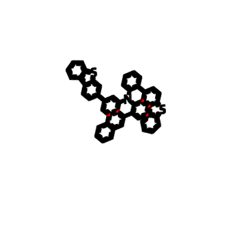 c1cc(-c2ccc3c(c2)sc2ccccc23)cc(N(c2ccccc2-c2ccc3ccccc3c2)c2ccccc2-c2ccc3sc4ccccc4c3c2)c1